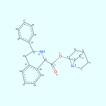 O=C(OC1CC2CCN1CC2)C1NC(c2ccccc2)Cc2ccccc21